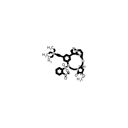 CC[Si](C#Cc1cc2cc(c1)N(S(=O)(=O)c1ccccc1[N+](=O)[O-])CCN1C(=O)[C@H](OC)C[C@H]1COc1ccn3ncc-2c3n1)(CC)CC